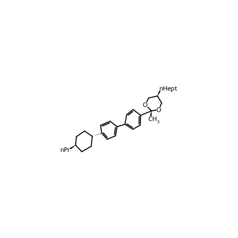 CCCCCCC[C@H]1CO[C@](C)(c2ccc(-c3ccc([C@H]4CC[C@H](CCC)CC4)cc3)cc2)OC1